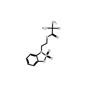 CCC(C)(C)C(=O)OCCN1c2ccccc2OS1(=O)=O